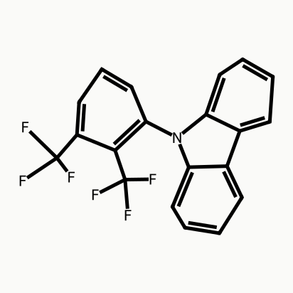 FC(F)(F)c1cccc(-n2c3ccccc3c3ccccc32)c1C(F)(F)F